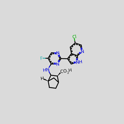 O=C(O)[C@H]1C2CC[C@@H](C2)C1Nc1nc(-c2c[nH]c3ncc(Cl)cc23)ncc1F